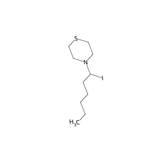 CCCCCC(I)N1CCSCC1